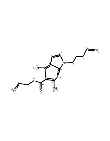 C=CCCCn1ncc2c(N)c(C(=O)OCC=C)c(C)nc21